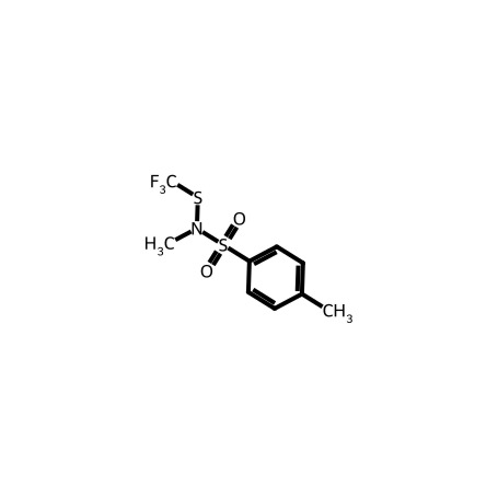 Cc1ccc(S(=O)(=O)N(C)SC(F)(F)F)cc1